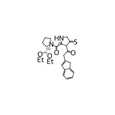 CCOC(OCC)[C@@H]1CCCN1C(=O)[C@H]1NCC(=S)C1C(=O)CC1=Cc2ccccc2C1